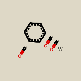 [C]=O.[C]=O.[C]=O.[W].c1ccccc1